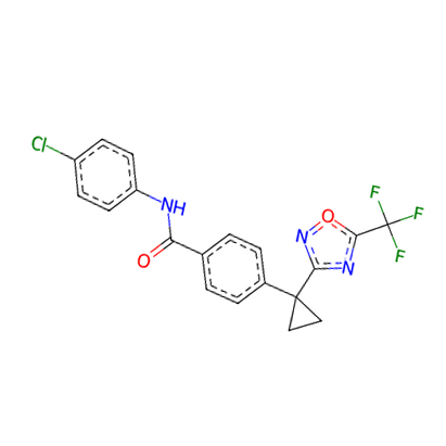 O=C(Nc1ccc(Cl)cc1)c1ccc(C2(c3noc(C(F)(F)F)n3)CC2)cc1